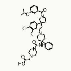 CC(C)Oc1cccc(C(=O)N2CCC(CCN3CCC(NC(=O)N4CCN(CC(=O)O)CC4)(c4ccccc4)CC3)(c3ccc(Cl)c(Cl)c3)C2)c1